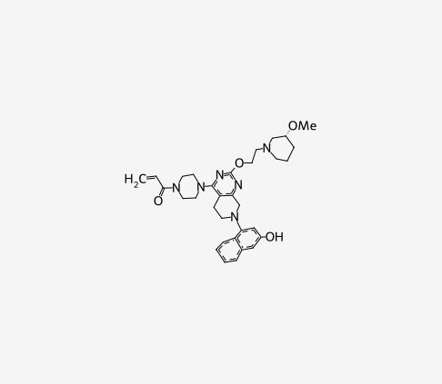 C=CC(=O)N1CCN(c2nc(OCCN3CCC[C@@H](OC)C3)nc3c2CCN(c2cc(O)cc4ccccc24)C3)CC1